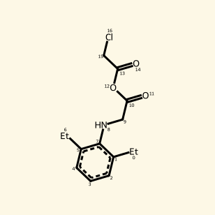 CCc1cccc(CC)c1NCC(=O)OC(=O)CCl